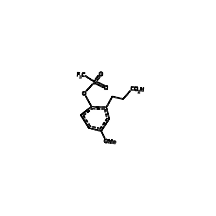 COc1ccc(OS(=O)(=O)C(F)(F)F)c(CCC(=O)O)c1